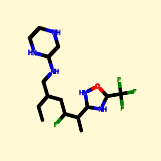 CCC(CNC1CNCCN1)CC(F)C(C)C1NOC(C(F)(F)F)N1